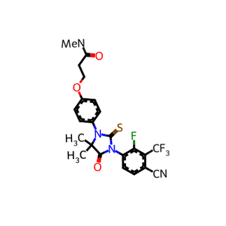 CNC(=O)CCOc1ccc(N2C(=S)N(c3ccc(C#N)c(C(F)(F)F)c3F)C(=O)C2(C)C)cc1